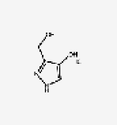 Cl.OCc1n[nH]cc1O